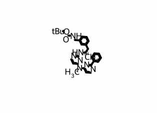 C[C@@H](Cc1cccc(CNC(=O)OC(C)(C)C)c1)Nc1nccc(N(C)c2ccnc(-c3ccccc3)n2)n1